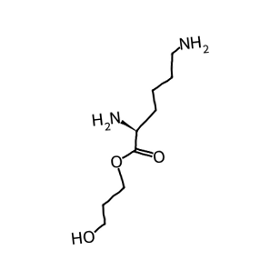 NCCCC[C@H](N)C(=O)OCCCO